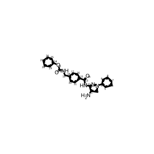 Nc1cn(-c2ccccc2)nc1NC(=O)c1ccc(CNC(=O)Oc2ccccc2)cc1